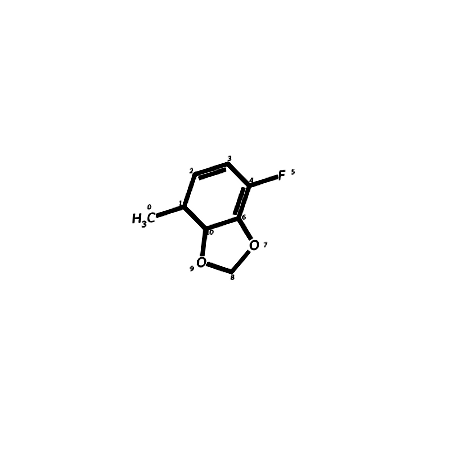 CC1C=CC(F)=C2OCOC21